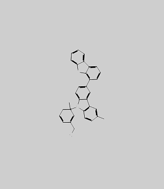 Cc1ccc2c(c1)c1cc(-c3cccc4c3oc3ccccc34)ccc1n2C1(C)C=C(CN)C=CC1